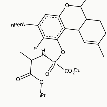 CCCCCc1cc2c(c(OP(=O)(NC(C)C(=O)OC(C)C)C(=O)OCC)c1F)C1C=C(C)CCC1C(C)O2